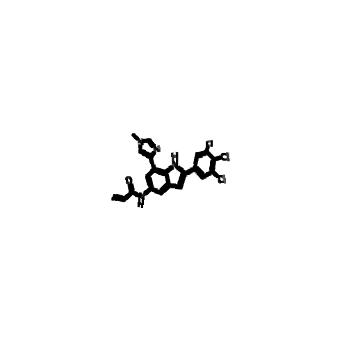 C=CC(=O)Nc1cc(-c2cn(C)cn2)c2[nH]c(-c3cc(Cl)c(Cl)c(Cl)c3)cc2c1